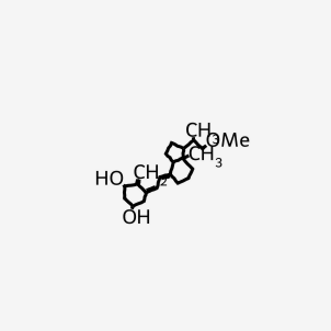 C=C1/C(=C\C=C2/CCCC3(C)C2CCC3C(C)COC)CC(O)CC1O